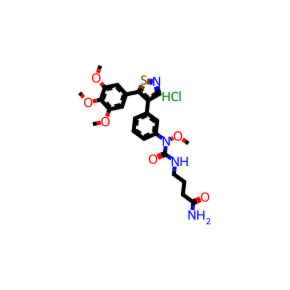 COc1cc(-c2sncc2-c2cccc(N(OC)C(=O)NCCCC(N)=O)c2)cc(OC)c1OC.Cl